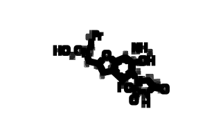 CC(C)CN(CC1Cc2c(cc(O)c(N3CC(=O)NS3(=O)=O)c2F)O1)C(=O)O.N